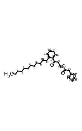 CCCCCCCCCCCCc1ccccc1C(=O)CCOC(=O)CC1N=NN=N1